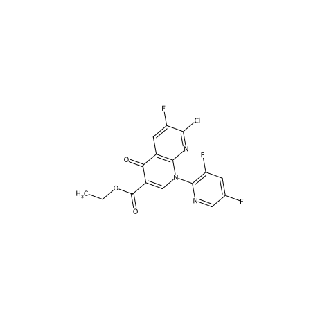 CCOC(=O)c1cn(-c2ncc(F)cc2F)c2nc(Cl)c(F)cc2c1=O